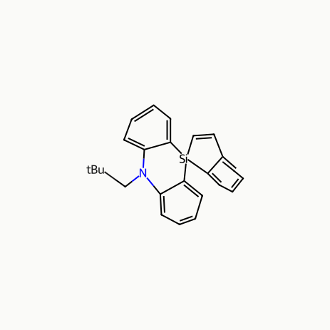 CC(C)(C)CN1c2ccccc2[Si]2(C=Cc3ccccc32)c2ccccc21